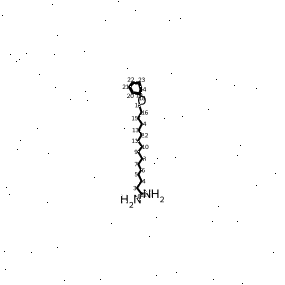 NC(N)CCCCCCCCCCCCCCCOc1ccccc1